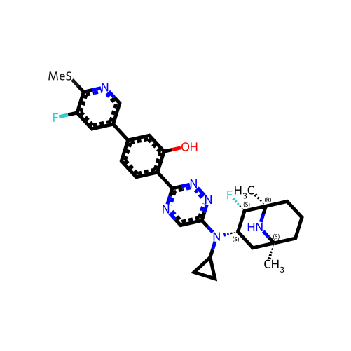 CSc1ncc(-c2ccc(-c3ncc(N(C4CC4)[C@H]4C[C@]5(C)CCC[C@@](C)(N5)[C@H]4F)nn3)c(O)c2)cc1F